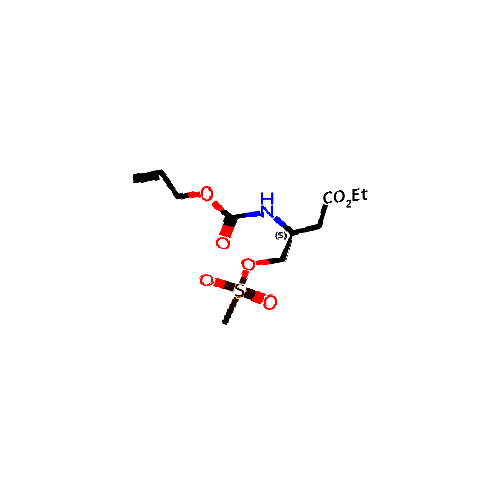 C=CCOC(=O)N[C@H](COS(C)(=O)=O)CC(=O)OCC